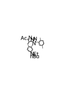 CCCCN(CC)c1ccc(/C=c2/c(C(C)=O)nn3nc(-c4cc(C)ccc4C)nc23)c(C)c1